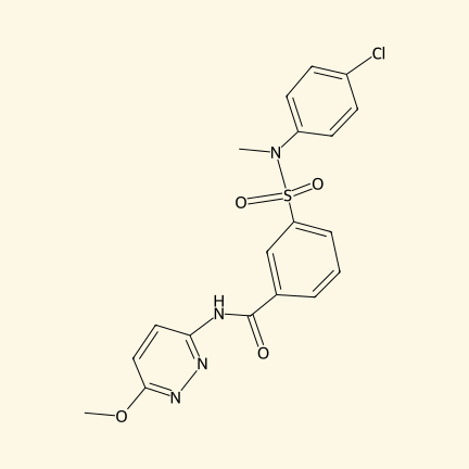 COc1ccc(NC(=O)c2cccc(S(=O)(=O)N(C)c3ccc(Cl)cc3)c2)nn1